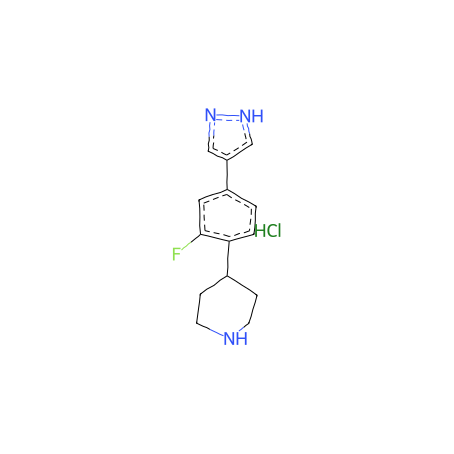 Cl.Fc1cc(-c2cn[nH]c2)ccc1C1CCNCC1